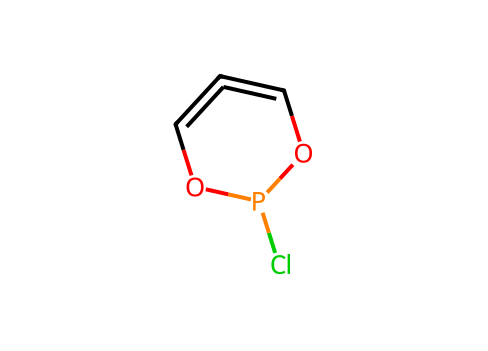 ClP1OC=C=CO1